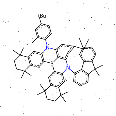 Cc1cc(C(C)(C)C)ccc1N1c2cc3c(cc2B2c4cc5c(cc4N4c6cc(cc1c62)C(C)(C)c1ccc2c(c1)C(C)(C)c1cccc4c1-2)C(C)(C)CCC5(C)C)C(C)(C)CCC3(C)C